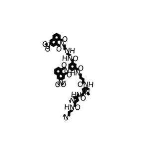 CN(C)CCCNC(=O)c1cc(NC(=O)c2cc(NC(=O)CCCNC(=O)c3cc(C(=O)NCCNCCN4C(=O)c5cccc6cc([N+](=O)[O-])cc(c56)C4=O)cc(N4C(=O)c5cccc6cc([N+](=O)[O-])cc(c56)C4=O)c3)cn2C)cn1C